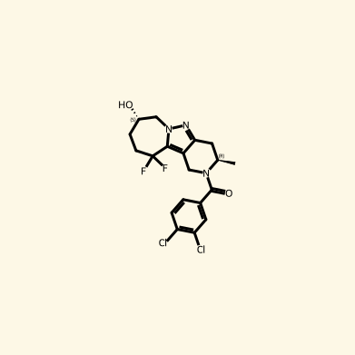 C[C@@H]1Cc2nn3c(c2CN1C(=O)c1ccc(Cl)c(Cl)c1)C(F)(F)CC[C@H](O)C3